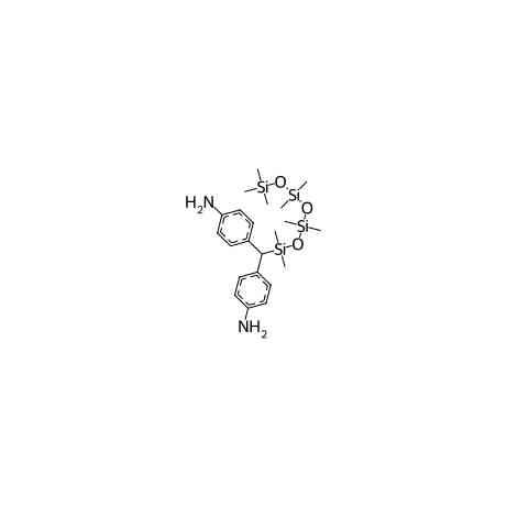 C[Si](C)(C)O[Si](C)(C)O[Si](C)(C)O[Si](C)(C)C(c1ccc(N)cc1)c1ccc(N)cc1